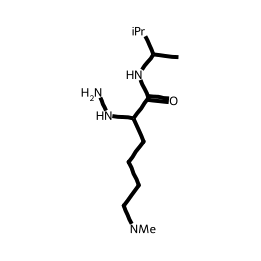 CNCCCCC(NN)C(=O)NC(C)C(C)C